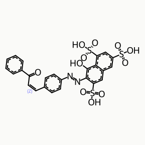 O=C(/C=C\c1ccc(N=Nc2c(S(=O)(=O)O)cc3cc(S(=O)(=O)O)cc(S(=O)(=O)O)c3c2O)cc1)c1ccccc1